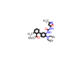 COC(=O)c1c(C)cccc1-c1ccc(N(CC(C)C)CC(C)C)c(NC(=O)Nc2cc(C)no2)c1